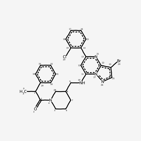 CC(C(=O)N1CCCC(CNc2cc(-c3ccccc3Cl)nc3c(Br)cnn23)C1)c1ccccc1